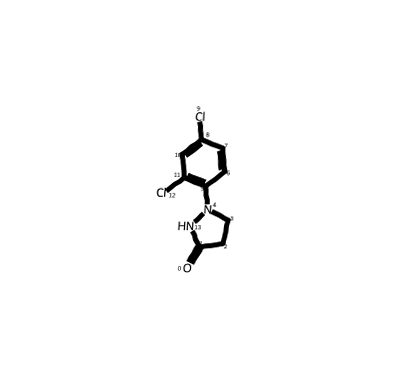 O=C1CCN(c2ccc(Cl)cc2Cl)N1